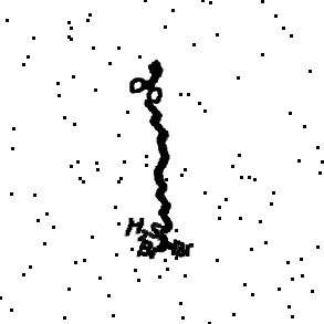 C=CC(=O)OCCCCCCCCCCCC[SiH2]C(Br)Br